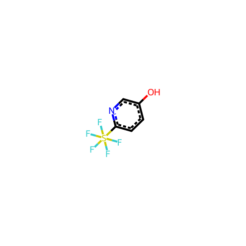 Oc1ccc(S(F)(F)(F)(F)F)nc1